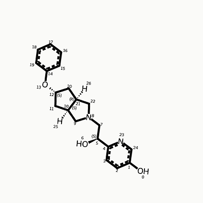 Oc1ccc([C@@H](O)CN2C[C@H]3C[C@H](Oc4ccccc4)C[C@H]3C2)nc1